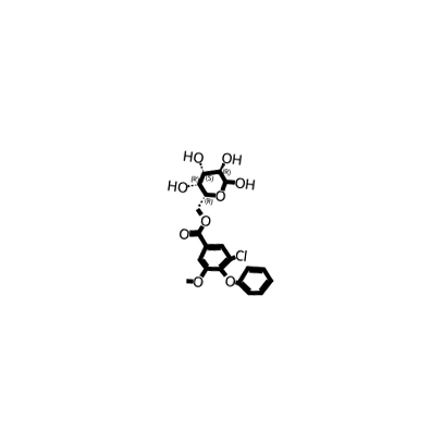 COc1cc(C(=O)OC[C@H]2OC(O)[C@H](O)[C@@H](O)[C@H]2O)cc(Cl)c1Oc1ccccc1